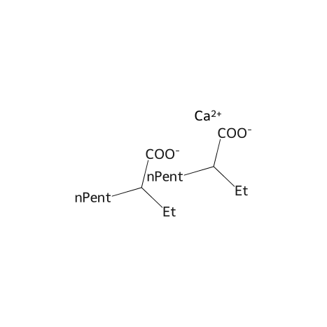 CCCCCC(CC)C(=O)[O-].CCCCCC(CC)C(=O)[O-].[Ca+2]